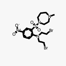 CN1CCCN(S(=O)(=O)c2cc([N+](=O)[O-])ccc2N(CCBr)CCBr)CC1